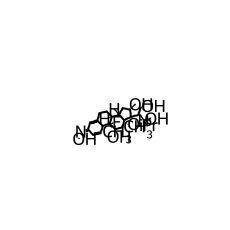 CC(C)O[C@]1(/C(CO)=N/O)[C@H](O)C[C@H]2[C@@H]3CCC4=C/C(=N/O)C=C[C@]4(C)[C@@]3(F)[C@@H](O)C[C@@]21C